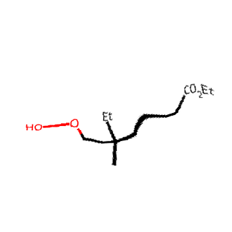 CCOC(=O)CCCC(C)(CC)COO